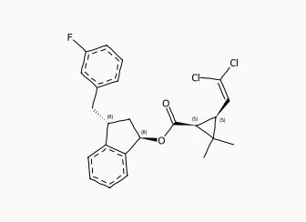 CC1(C)[C@H](C=C(Cl)Cl)[C@@H]1C(=O)O[C@@H]1C[C@@H](Cc2cccc(F)c2)c2ccccc21